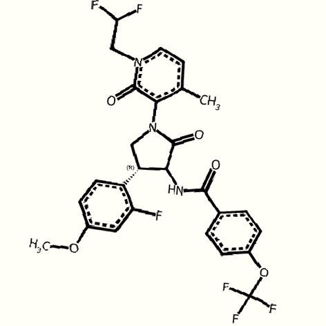 COc1ccc([C@@H]2CN(c3c(C)ccn(CC(F)F)c3=O)C(=O)C2NC(=O)c2ccc(OC(F)(F)F)cc2)c(F)c1